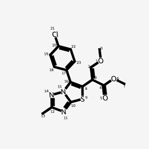 COC=C(C(=O)OC)c1sc2nc(C)nn2c1-c1ccc(Cl)cc1